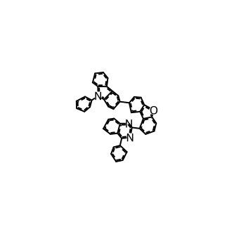 c1ccc(-c2nc(-c3cccc4oc5ccc(-c6ccc7c(c6)c6ccccc6n7-c6ccccc6)cc5c34)nc3ccccc23)cc1